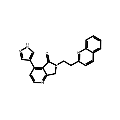 O=C1c2c(-c3cn[nH]c3)ccnc2CN1CCc1ccc2ccccc2n1